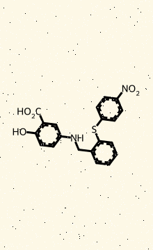 O=C(O)c1cc(NCc2ccccc2Sc2ccc([N+](=O)[O-])cc2)ccc1O